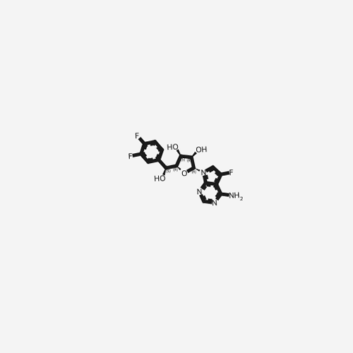 Nc1ncnc2c1c(F)cn2[C@@H]1O[C@H]([C@@H](O)c2ccc(F)c(F)c2)[C@@H](O)[C@H]1O